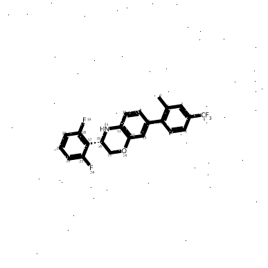 Cc1cc(C(F)(F)F)ccc1-c1ccc2c(c1)OC[C@H](c1c(F)cccc1F)N2